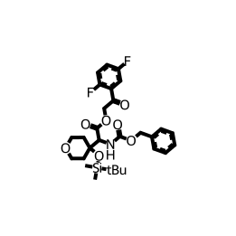 CC(C)(C)[Si](C)(C)OC1(C(NC(=O)OCc2ccccc2)C(=O)OCC(=O)c2cc(F)ccc2F)CCOCC1